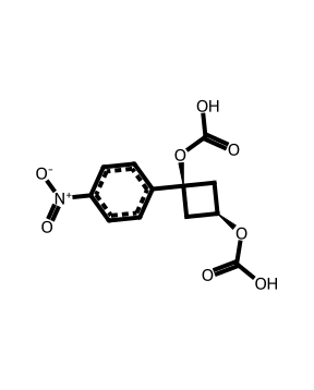 O=C(O)O[C@H]1C[C@](OC(=O)O)(c2ccc([N+](=O)[O-])cc2)C1